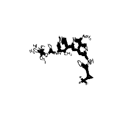 Cc1c(NC(=O)OC(C)(C)C)cncc1-c1cc2cc(NC(=O)C3CC3C(F)(F)F)ncc2c(N)n1